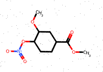 COC(=O)C1CCC(O[N+](=O)[O-])C(OC)C1